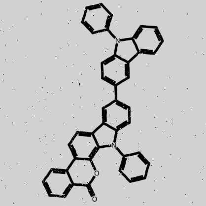 O=c1oc2c(ccc3c4cc(-c5ccc6c(c5)c5ccccc5n6-c5ccccc5)ccc4n(-c4ccccc4)c32)c2ccccc12